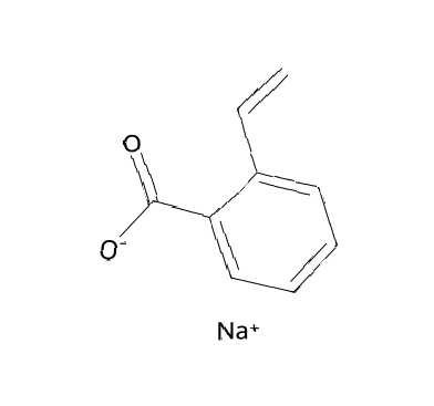 C=Cc1ccccc1C(=O)[O-].[Na+]